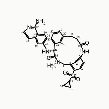 CN1Cc2cc(ccc2S(=O)(=O)C2CC2)NC(=O)CCc2cccc(c2)[C@@H](Nc2ccc3c(N)nccc3c2)C1=O